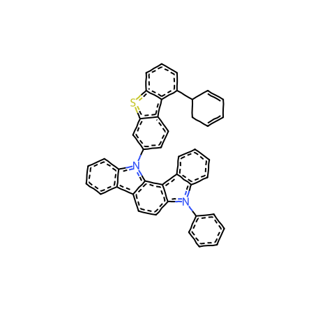 C1=CCC(c2cccc3sc4cc(-n5c6ccccc6c6ccc7c(c8ccccc8n7-c7ccccc7)c65)ccc4c23)C=C1